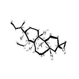 CC[C@@H](C)[C@@]1(C)CC[C@H]2[C@@H](CC[C@H]3CC4(CC[C@@H]32)CO4)[C@@H]1CC